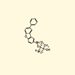 CC(C)(O)C(C)(C)OBc1ccc2oc3ccc(-c4ccccc4)cc3c2c1